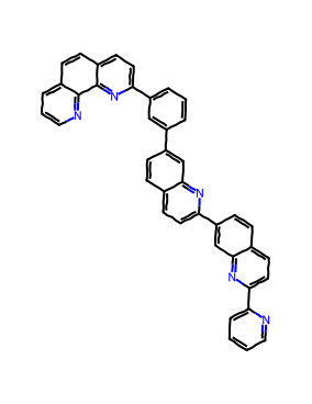 c1ccc(-c2ccc3ccc(-c4ccc5ccc(-c6cccc(-c7ccc8ccc9cccnc9c8n7)c6)cc5n4)cc3n2)nc1